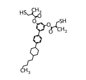 C=C(CS)C(=O)Oc1cc(OC(=O)C(=C)CS)cc(-c2ccc(C3CCC(CCCCC)CC3)cc2)c1